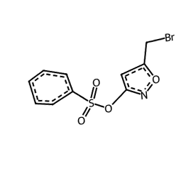 O=S(=O)(Oc1cc(CBr)on1)c1ccccc1